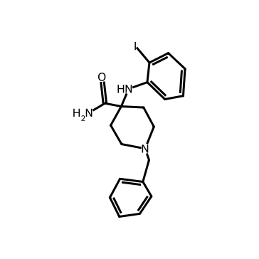 NC(=O)C1(Nc2ccccc2I)CCN(Cc2ccccc2)CC1